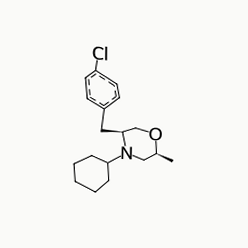 C[C@H]1CN(C2CCCCC2)[C@@H](Cc2ccc(Cl)cc2)CO1